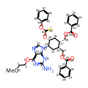 COCCOc1nc(N)nc2c1ncn2[C@@H]1C[C@H](COC(=O)c2ccccc2)[C@@H](COC(=O)c2ccccc2)C[C@H]1OC(=S)Oc1ccccc1